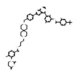 Cc1c(NC(=O)c2ccc(C(C)(C)O)cc2F)cc(F)cc1-c1ncnc2[nH]c(-c3ccc(CN4CCC5(CCN(CCCNC(=O)c6ccc(Cl)c(N7CCC(=O)NC7=O)c6)CC5)CC4)cc3)cc12